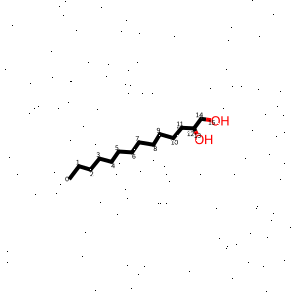 CCCCCCCCCCC[CH]C(O)CO